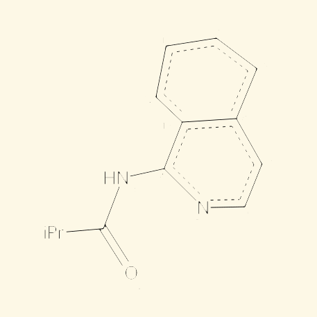 CC(C)C(=O)Nc1nccc2ccccc12